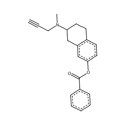 C#CCN(C)C1CCc2ccc(OC(=O)c3ccccc3)cc2C1